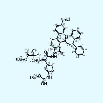 CC(C)(C)OC(=O)C(C)(C)O/N=C(\C(=O)N[C@@H]1C(=O)N2C(C(=O)OC(c3ccccc3)c3ccccc3)=C(c3ccc(CCl)cc3)CS[C@H]12)c1csc(NC(O)OC(C)(C)C)n1